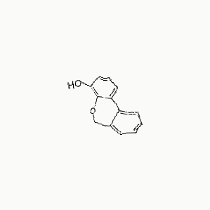 Oc1cccc2c1OCc1ccccc1-2